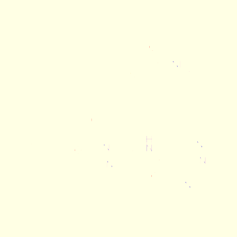 COc1cc2sc(C(N)=O)cc2cc1-c1c(NC(=O)c2cnn3cccnc23)cnn1COCC[Si](C)(C)C